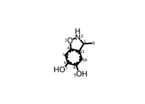 CC1NOc2cc(O)c(O)cc21